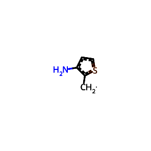 [CH2]c1sccc1N